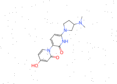 CN(C)C1CCN(c2ccc(-n3ccc(O)cc3=O)c(=O)[nH]2)C1